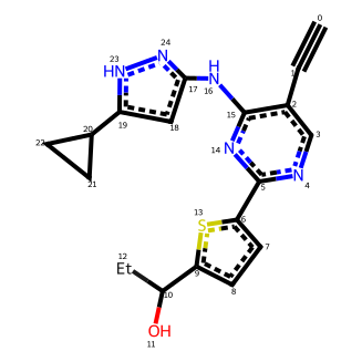 C#Cc1cnc(-c2ccc(C(O)CC)s2)nc1Nc1cc(C2CC2)[nH]n1